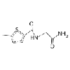 Cc1ccc(C(=O)NCC(N)=O)s1